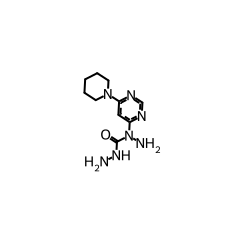 NNC(=O)N(N)c1cc(N2CCCCC2)ncn1